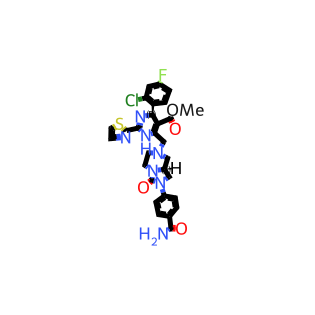 COC(=O)C1=C(CN2CCN3C(=O)N(c4ccc(C(N)=O)cc4)C[C@@H]3C2)NC(c2nccs2)=N[C@H]1c1ccc(F)cc1Cl